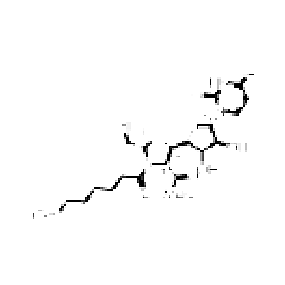 CCCCCCCCCCCCCCCC(=O)N1[C@H](C(=O)OC)[C@@H]([C@H]2O[C@@H](n3ccc(=O)[nH]c3=O)C(O)C2O)O[C@@H]1CN